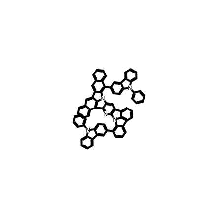 c1ccc(-n2c3ccccc3c3cc(-c4c5ccccc5cc5c6cc7ccccc7c7c8nc9c(cc8n(c45)c67)c4cccc5c6cccc(-c7ccc8c(c7)c7ccccc7n8-c7ccccc7)c6n9c45)ccc32)cc1